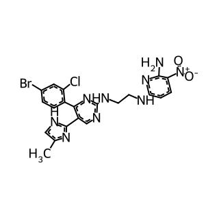 Cc1c[nH]c(-c2cnc(NCCNc3ccc([N+](=O)[O-])c(N)n3)nc2-c2ccc(Br)cc2Cl)n1